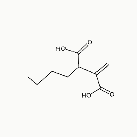 C=C(C(=O)O)C(CCCC)C(=O)O